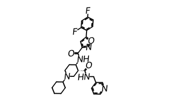 O=C(N[C@@H]1CCN(C2CCCCC2)C[C@H]1C(=O)NCc1cccnc1)c1cc(-c2ccc(F)cc2F)on1